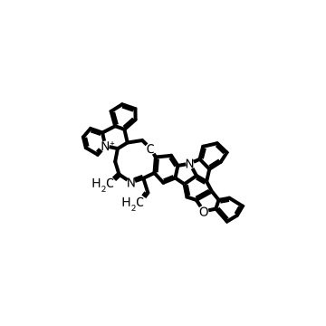 C=C/C1=N/C(=C)CC2C(CCc3cc4c(cc31)c1cc3oc5ccccc5c3c3c5ccccc5n4c13)c1ccccc1-c1cccc[n+]12